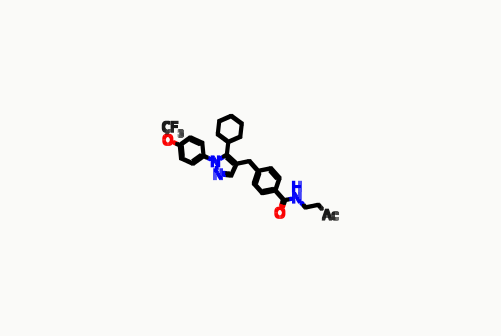 CC(=O)CCNC(=O)c1ccc(Cc2cnn(-c3ccc(OC(F)(F)F)cc3)c2C2CCCCC2)cc1